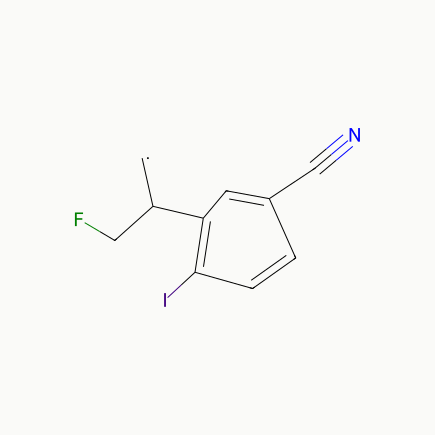 [CH2]C(CF)c1cc(C#N)ccc1I